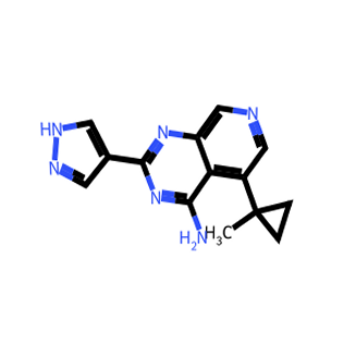 CC1(c2cncc3nc(-c4cn[nH]c4)nc(N)c23)CC1